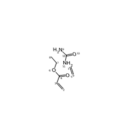 C=C.C=CC(=O)OCC.NC(N)=O